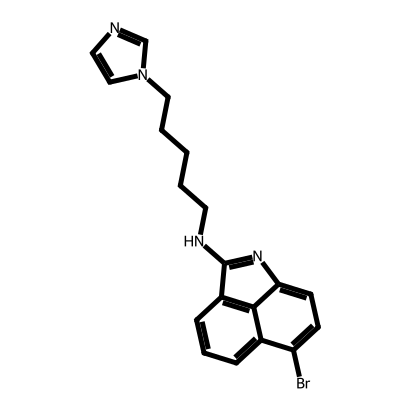 Brc1ccc2c3c(cccc13)C(NCCCCCn1ccnc1)=N2